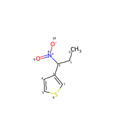 CCC(c1ccsc1)[N+](=O)[O-]